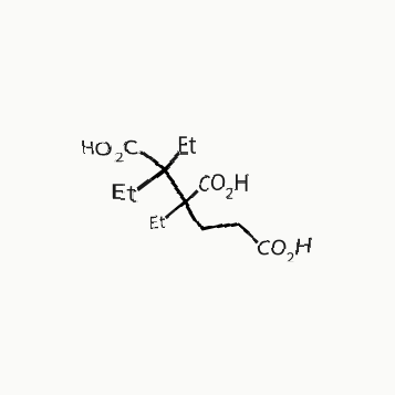 CCC(CC)(C(=O)O)C(CC)(CCC(=O)O)C(=O)O